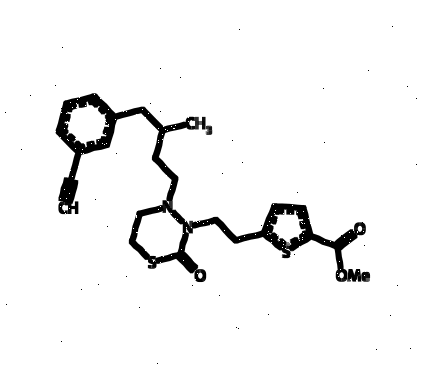 C#Cc1cccc(CC(C)CCN2CCSC(=O)N2CCc2ccc(C(=O)OC)s2)c1